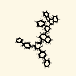 CC1(c2ccccc2)C=CC(c2cc(-c3ccc(C4=CCCC=C4)cc3)nc(-c3ccc(-c4ccc(-c5nc6ccccc6c6c7ccccc7n(-c7ccccc7)c56)cc4)c4ccccc34)n2)=CC1